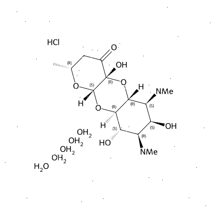 CN[C@@H]1[C@H](O)[C@H](NC)[C@H]2O[C@@]3(O)C(=O)C[C@@H](C)O[C@H]3O[C@@H]2[C@H]1O.Cl.O.O.O.O.O